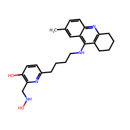 Cc1ccc2nc3c(c(NCCCCc4ccc(O)c(CNO)n4)c2c1)CCCC3